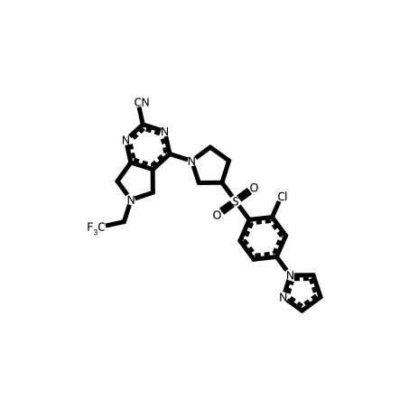 N#Cc1nc2c(c(N3CCC(S(=O)(=O)c4ccc(-n5cccn5)cc4Cl)C3)n1)CN(CC(F)(F)F)C2